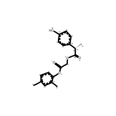 Cc1ccc(OC(=O)COC(=O)[C@@H](C)c2ccc(O)cc2)c(C)c1